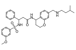 COc1cccc(S(=O)(=O)NC(CC(=O)NC2CCOc3cc(CNCCC(C)C)ccc32)c2ccccc2)c1